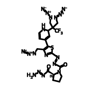 [N-]=[N+]=NCc1nc(N=NC(=O)N2CCC[C@H]2C(=O)N=NN)sc1C1=CC(C(CN=[N+]=[N-])(CN=[N+]=[N-])C(F)(F)F)NC=C1